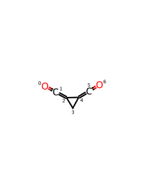 O=C=C1CC1=C=O